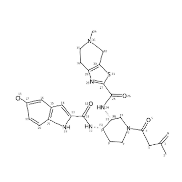 C=C(C)CC(=O)N1CC[C@H](NC(=O)c2cc3cc(Cl)ccc3[nH]2)[C@H](NC(=O)c2nc3c(s2)CN(C)CC3)C1